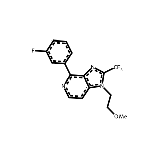 COCCn1c(C(F)(F)F)nc2c(-c3cc[c]c(F)c3)nccc21